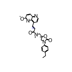 CCc1ccc(N2C[C@@H](CN(C)C(=O)/C=C/c3ccnc4ccc(OC)nc34)OC2=O)cc1